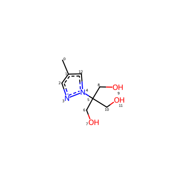 Cc1cnn(C(CO)(CO)CO)c1